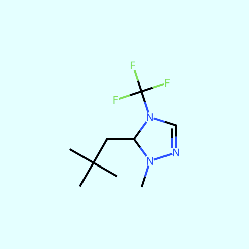 CN1N=CN(C(F)(F)F)C1CC(C)(C)C